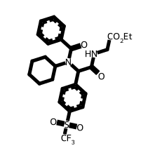 CCOC(=O)CNC(=O)C(c1ccc(S(=O)(=O)C(F)(F)F)cc1)N(C(=O)c1ccccc1)C1CCCCC1